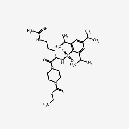 CCOC(=O)N1CCN(C(=O)[C@H](CCCNC(=N)N)NS(=O)(=O)c2c(C(C)C)cc(C(C)C)cc2C(C)C)CC1